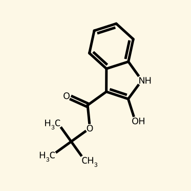 CC(C)(C)OC(=O)c1c(O)[nH]c2ccccc12